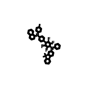 Cc1ccc(N(c2ccc(-c3c(F)c(F)c(N(c4ccccc4)c4ccc5c(c4)C(C)(C)c4ccccc4-5)c(F)c3F)cc2)c2cccc3ccccc23)cc1